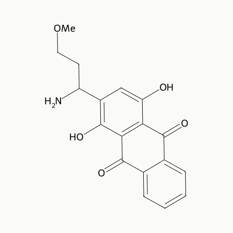 COCCC(N)c1cc(O)c2c(c1O)C(=O)c1ccccc1C2=O